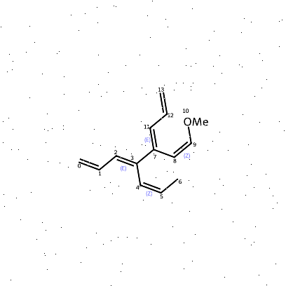 C=C/C=C(\C=C/C)C(/C=C\OC)=C/C=C